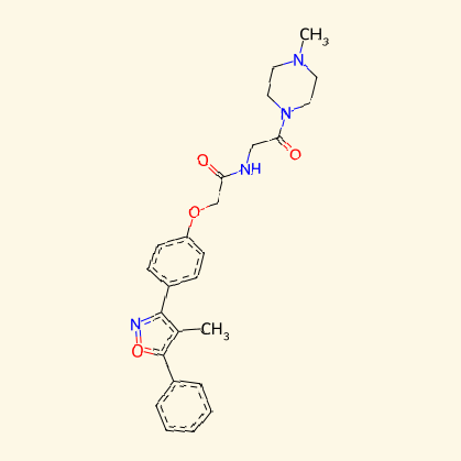 Cc1c(-c2ccc(OCC(=O)NCC(=O)N3CCN(C)CC3)cc2)noc1-c1ccccc1